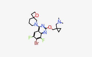 CN(C)CC1(COc2nc(N3CCCC4(CCO4)C3)c3cc(F)c(Br)c(F)c3n2)CC1